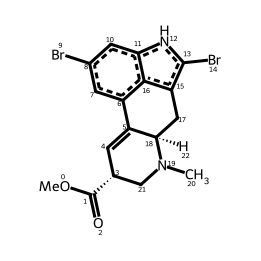 COC(=O)[C@@H]1C=C2c3cc(Br)cc4[nH]c(Br)c(c34)C[C@H]2N(C)C1